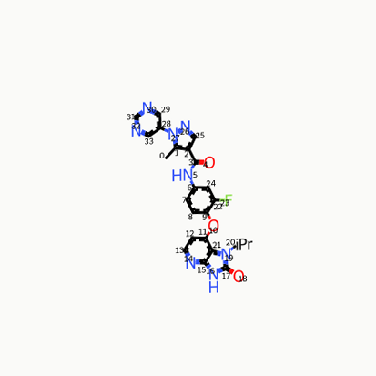 Cc1c(C(=O)Nc2ccc(Oc3ccnc4[nH]c(=O)n(C(C)C)c34)c(F)c2)cnn1-c1cncnc1